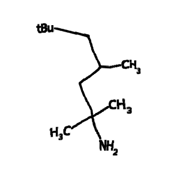 CC(CC(C)(C)C)CC(C)(C)N